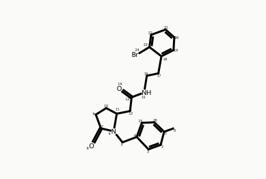 Cc1ccc(CN2C(=O)CCC2CC(=O)NCCc2ccccc2Br)cc1